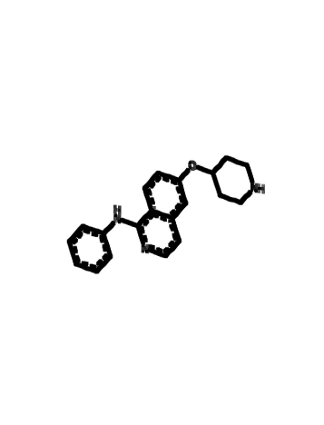 c1ccc(Nc2nccc3cc(OC4CCNCC4)ccc23)cc1